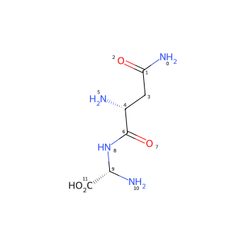 NC(=O)C[C@@H](N)C(=O)N[C@H](N)C(=O)O